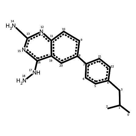 CC(C)Cc1ccc(-c2ccc3nc(N)nc(NN)c3c2)cc1